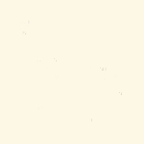 O=C(O)Nc1ccc2c(c1)N(S(=O)(=O)c1cccc(C(F)(F)F)c1)CC(CC(=O)NS(=O)(=O)c1cc(C(F)(F)F)ccn1)O2